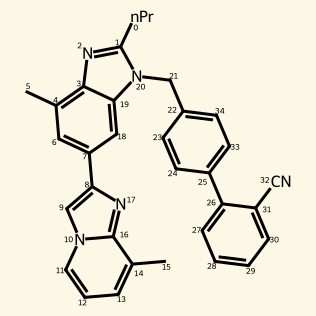 CCCc1nc2c(C)cc(-c3cn4cccc(C)c4n3)cc2n1Cc1ccc(-c2ccccc2C#N)cc1